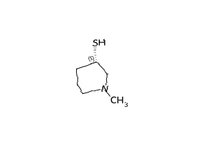 CN1CCC[C@H](S)C1